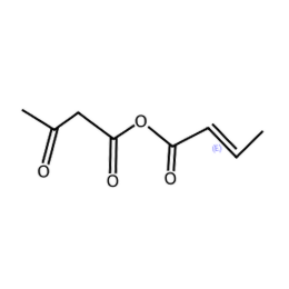 C/C=C/C(=O)OC(=O)CC(C)=O